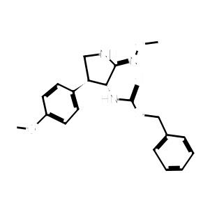 CO/N=C1\NC[C@H](c2ccc(OC)cc2)[C@H]1NC(=O)OCc1ccccc1